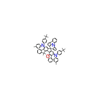 Cc1ccc(N(c2ccc(C(C)(C)C)cc2)c2cc3c(c4c2-c2ccccc2C4(C)C)-c2c(cc(N(c4ccc(C)cc4)c4ccc(C(C)(C)C)cc4)c4c2oc2ccccc24)C32c3ccccc3-n3c4ccccc4c4cccc2c43)cc1